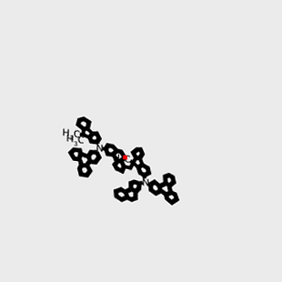 CC1(C)c2ccccc2-c2ccc(N(c3ccc4ccc5c(CC6(C)c7ccccc7-c7ccc(N(c8ccc9c(ccc%10ccccc%109)c8)c8ccc9c%10ccccc%10c%10ccccc%10c9c8)cc76)cccc5c4c3)c3ccc4c5ccccc5c5ccccc5c4c3)cc21